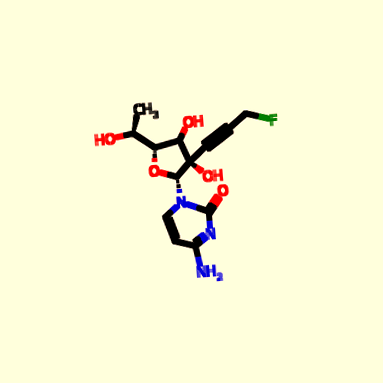 C[C@H](O)[C@H]1O[C@@H](n2ccc(N)nc2=O)[C@@](O)(C#CCF)C1O